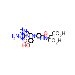 Nc1nc(=O)c2nc(CN(c3ccc(O)cc3)c3ccc(C(=O)N[C@@H](CCC(=O)O)C(=O)O)cc3)cnc2[nH]1